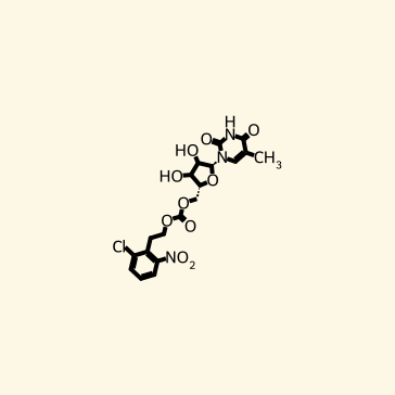 Cc1cn([C@@H]2O[C@H](COC(=O)OCCc3c(Cl)cccc3[N+](=O)[O-])C(O)C2O)c(=O)[nH]c1=O